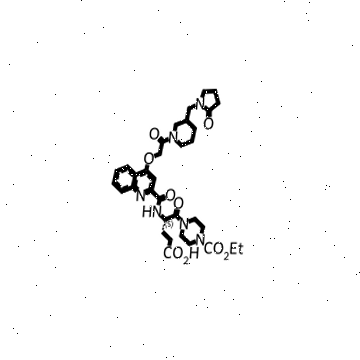 CCOC(=O)N1CCN(C(=O)[C@H](CCC(=O)O)NC(=O)c2cc(OCC(=O)N3CCCC(CN4CCCC4=O)C3)c3ccccc3n2)CC1